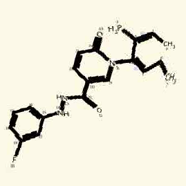 C/C=C(P)\C(=C/CC)n1cc(C(=O)NNc2cccc(F)c2)ccc1=O